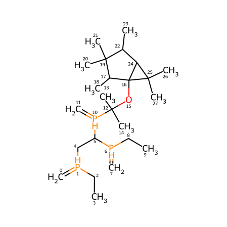 C=[PH](CC)CC([PH](=C)CC)[PH](=C)C(C)(C)OC12C(C)C(C)(C)C(C)C1C2(C)C